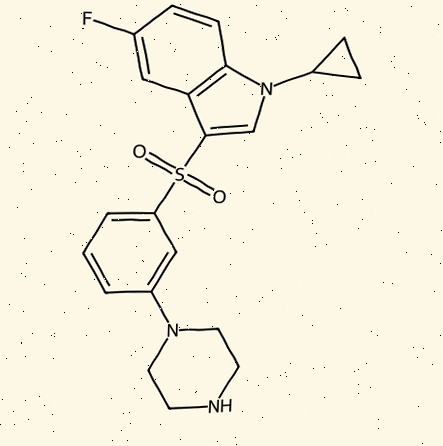 O=S(=O)(c1cccc(N2CCNCC2)c1)c1cn(C2CC2)c2ccc(F)cc12